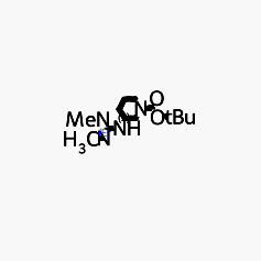 C/N=C(\NC)N[C@H]1CCCN(C(=O)OC(C)(C)C)C1